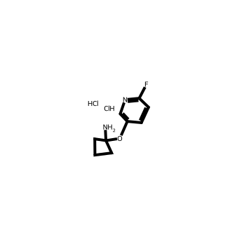 Cl.Cl.NC1(Oc2ccc(F)nc2)CCC1